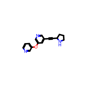 C(#CC1CCCN1)c1cncc(Oc2cccnc2)c1